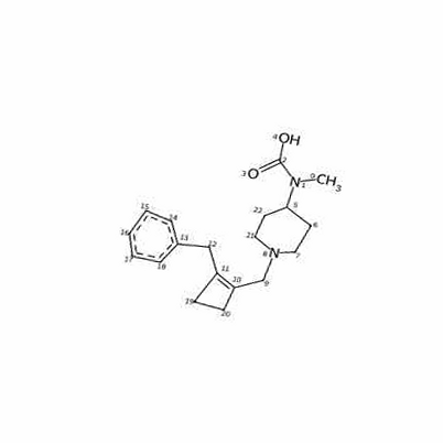 CN(C(=O)O)C1CCN(CC2=C(Cc3ccccc3)CC2)CC1